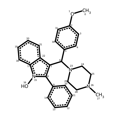 COc1ccc(C(c2c(-c3ccccc3)n(O)c3ccccc23)N2CCN(C)CC2)cc1